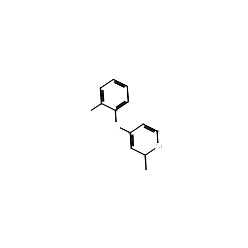 CC1C=C(Oc2ccccc2F)C=CN1